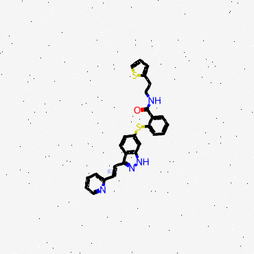 O=C(NCCc1cccs1)c1ccccc1Sc1ccc2c(/C=C/c3ccccn3)n[nH]c2c1